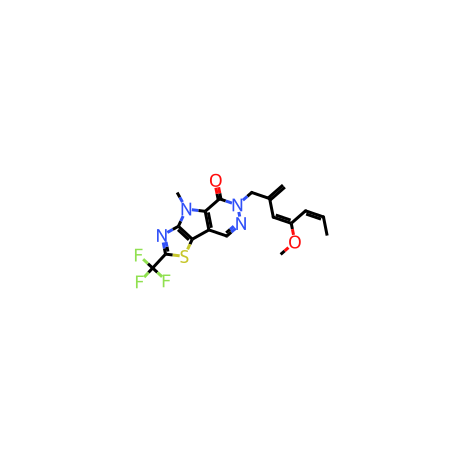 C=C(/C=C(\C=C/C)OC)Cn1ncc2c3sc(C(F)(F)F)nc3n(C)c2c1=O